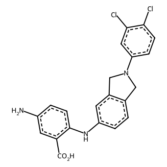 Nc1ccc(Nc2ccc3c(c2)CN(c2ccc(Cl)c(Cl)c2)C3)c(C(=O)O)c1